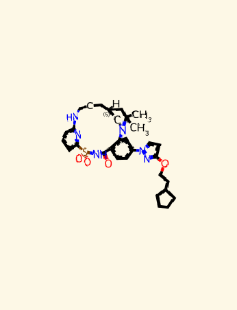 CC1(C)C[C@@H]2CCCNc3cccc(n3)S(=O)(=O)NC(=O)c3ccc(-n4ccc(OCCC5CCCC5)n4)cc3N1C2